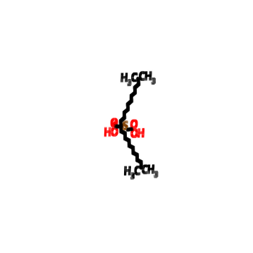 CC(C)CCCCCCCCCCC(CCCCCCCCCCC(C)C)(SCC(=O)O)C(=O)O